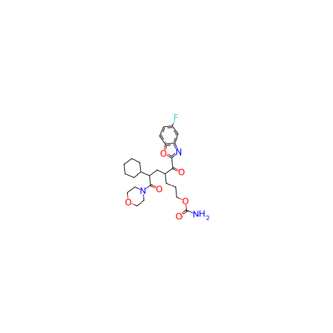 NC(=O)OCCCC(CC(C(=O)N1CCOCC1)C1CCCCC1)C(=O)c1nc2cc(F)ccc2o1